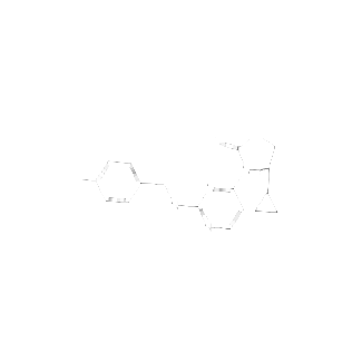 C[C@H](Nc1nccc(N2C(=O)OC[C@@]2(C)C2CC2)n1)c1ccc(F)cc1